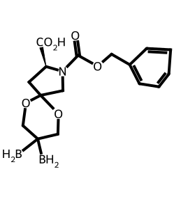 BC1(B)COC2(C[C@@H](C(=O)O)N(C(=O)OCc3ccccc3)C2)OC1